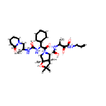 C=CCNC(=O)C(=O)C(CCC)NC(=O)[C@@H]1[C@H]2CC(C)(C)O[C@H]2CN1C(=O)[C@@H](NC(=O)N[C@H](CN1CCCCC1=O)C(C)(C)C)C1CCCCC1